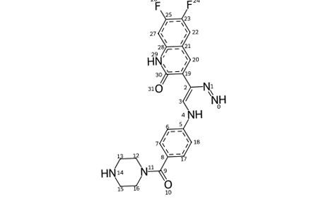 N=N/C(=C\Nc1ccc(C(=O)N2CCNCC2)cc1)c1cc2cc(F)c(F)cc2[nH]c1=O